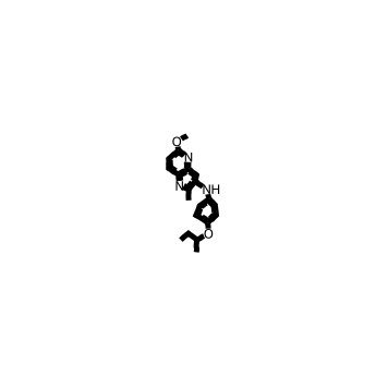 CCC(C)Oc1ccc(Nc2cc3nc(OC)ccc3nc2C)cc1